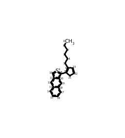 CCCCCCC1=C(c2scc3cc4ccccc4cc23)CC=C1